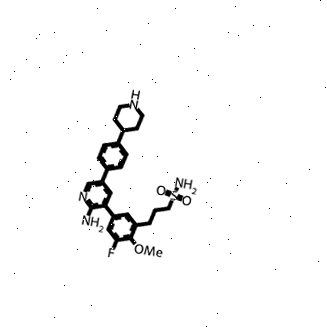 COc1c(F)cc(-c2cc(-c3ccc(C4CCNCC4)cc3)cnc2N)cc1CCCS(N)(=O)=O